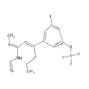 CCC/C(=C\C(=N/C)NC=O)c1cc(F)cc(OC(F)(F)F)c1